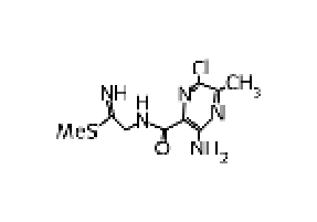 CSC(=N)CNC(=O)c1nc(Cl)c(C)nc1N